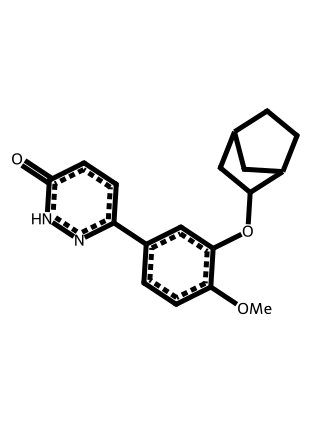 COc1ccc(-c2ccc(=O)[nH]n2)cc1OC1CC2CCC1C2